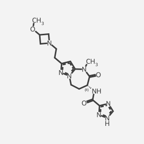 COC1CN(CCc2cc3n(n2)CC[C@@H](NC(=O)c2nc[nH]n2)C(=O)N3C)C1